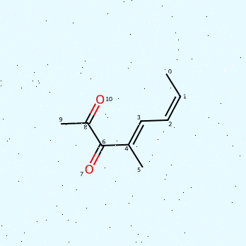 C/C=C\C=C(/C)C(=O)C(C)=O